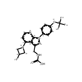 O=C(O)NCc1nn(-c2ccc(OC(F)(F)F)cc2)c2nccc(N3CC(F)C3)c12